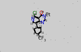 CCn1cnc2c(-c3ccc(C(F)(F)F)cc3)cnc(Cl)c2c1=O